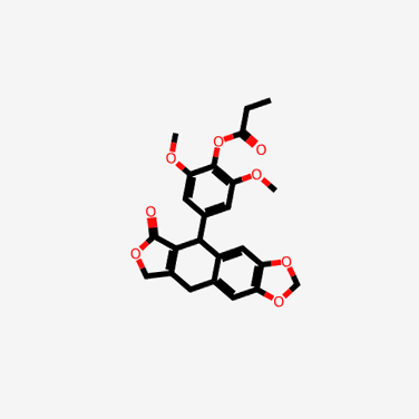 CCC(=O)Oc1c(OC)cc(C2C3=C(COC3=O)Cc3cc4c(cc32)OCO4)cc1OC